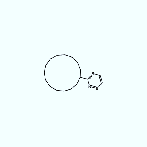 b1bc(C2CCCCCCCCCCCCCC2)bcc1